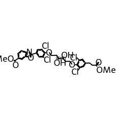 COC(=O)CCc1cc(Cl)c(OCC[C@@H](O)[C@H](O)CCOc2c(Cl)cc(-c3nc4ccc(C(=O)OC)cc4o3)cc2Cl)c(Cl)c1